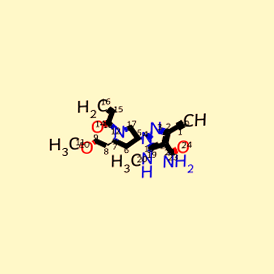 C#Cc1nn([C@H]2C[C@H](CCOC)N(C(=O)C=C)C2)c(NC)c1C(N)=O